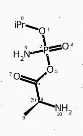 CC(C)OP(N)(=O)OC(=O)[C@H](C)N